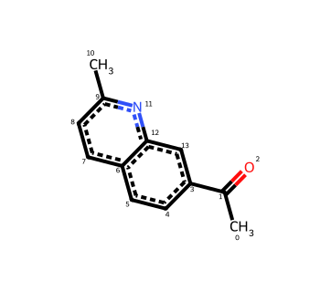 CC(=O)c1ccc2ccc(C)nc2c1